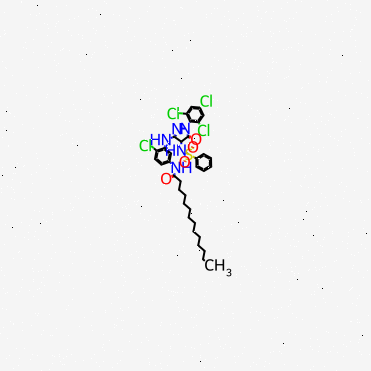 CCCCCCCCCCCCCC(=O)Nc1ccc(Cl)c(NC2=NN(c3c(Cl)cc(Cl)cc3Cl)C(=O)C2NS(=O)(=O)c2ccccc2)c1